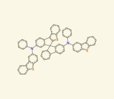 c1ccc(N(c2ccc3c(c2)C2(c4ccccc4-3)c3cc(N(c4ccccc4)c4ccc5sc6ccccc6c5c4)ccc3-c3c2sc2ccccc32)c2ccc3sc4ccccc4c3c2)cc1